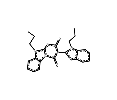 CCCn1c(-n2c(=O)nc3n(CCC)c4ccccc4n3c2=O)nc2ccccc21